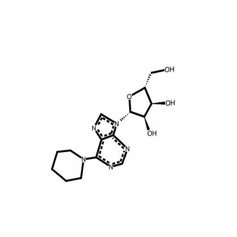 OC[C@H]1O[C@@H](n2cnc3c(N4CCCCC4)ncnc32)[C@H](O)[C@@H]1O